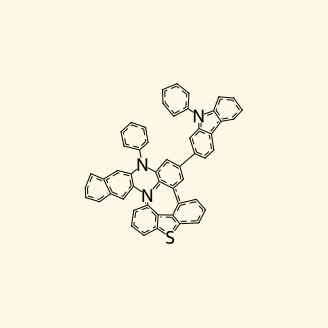 c1ccc(N2c3cc4ccccc4cc3-n3c4cccc5sc6cccc(c7cc(-c8ccc9c%10ccccc%10n(-c%10ccccc%10)c9c8)cc2c73)c6c54)cc1